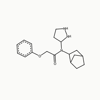 O=C(COc1ccccc1)N(C1CCNN1)C1CC2CCC1C2